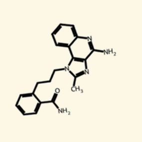 Cc1nc2c(N)nc3ccccc3c2n1CCCc1ccccc1C(N)=O